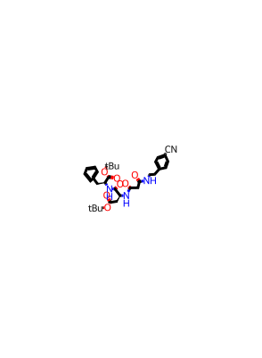 CC(C)(C)OC(=O)C[C@H](NC(=O)CC(=O)NCCc1ccc(C#N)cc1)C(=O)N[C@@H](Cc1ccccc1)C(=O)OC(C)(C)C